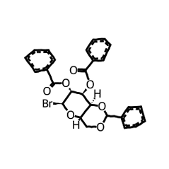 O=C(O[C@@H]1[C@@H](OC(=O)c2ccccc2)[C@H](Br)O[C@@H]2COC(c3ccccc3)O[C@H]12)c1ccccc1